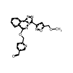 COCc1cc(-c2nnc3c4ccccc4c(OCc4ccc(C=O)cn4)nn23)no1